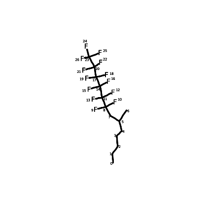 CCCCCC(C)CC(F)(F)C(F)(F)C(F)(F)C(F)(F)C(F)(F)C(F)(F)F